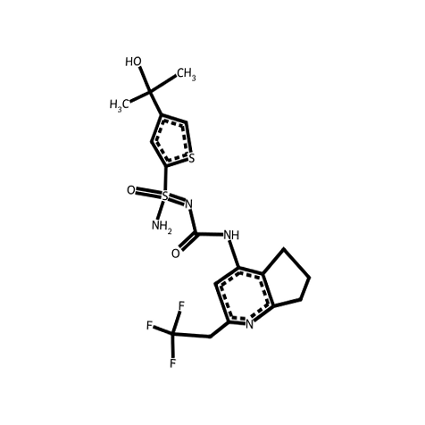 CC(C)(O)c1csc(S(N)(=O)=NC(=O)Nc2cc(CC(F)(F)F)nc3c2CCC3)c1